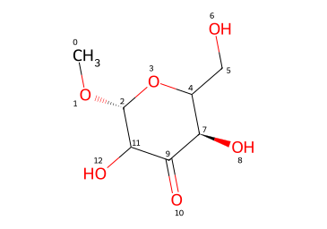 CO[C@@H]1OC(CO)[C@@H](O)C(=O)C1O